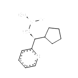 CC(C)(C)[S@@+]([O-])N[C@H](c1ccccn1)C1CCCC1